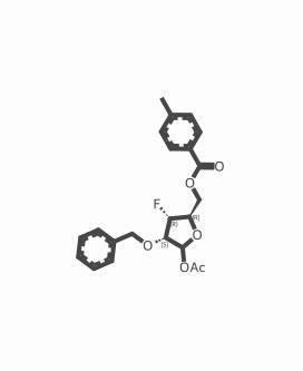 CC(=O)OC1O[C@H](COC(=O)c2ccc(C)cc2)[C@@H](F)[C@H]1OCc1ccccc1